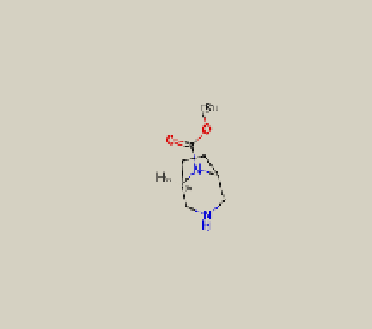 CC(C)(C)OC(=O)N1C2CC[C@@H]1CNC2